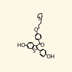 O=C(c1ccc(OCCCN2CCCC2)cc1)c1c(-c2ccc(O)cc2)sc2cc(O)ccc12